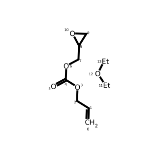 C=CCOC(=O)OCC1CO1.CCOCC